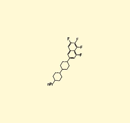 CCCC1CCC(C2CCC(c3cc(F)c4c(F)c(F)c(F)cc4c3)CC2)CC1